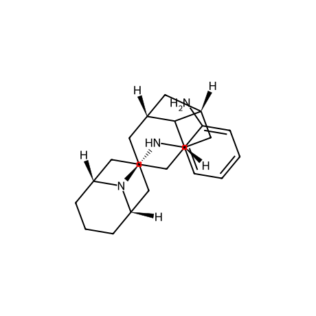 Nc1ccccc1N[C@H]1C[C@H]2CCC[C@@H](C1)N2[C@@H]1C[C@H]2C[C@H]3C[C@@H](C1)C32